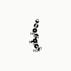 C[C@H](O)C(=O)N1CC[C@H](Oc2ccc(-c3nccc(Nc4ccc(N5CCN(C6COC6)CC5)cc4)n3)cc2C#N)[C@H](F)C1